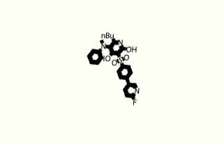 CCCCc1nc(O)c(S(=O)(=O)c2ccc(-c3ccc(F)nc3)cc2)c(O)c1N(C)c1ccccc1